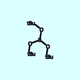 CC(C)(C)OB(OC(C)(C)C)OC(C)(C)C